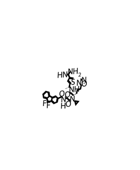 C[C@@H](NC(=O)[C@H](CCCc1ncno1)N(C(=O)CNC(=O)c1ccc2c(c1)-c1ccccc1C2(F)F)C1CC1)c1cc(C(=N)N)cs1